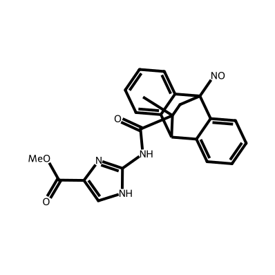 COC(=O)c1c[nH]c(NC(=O)C2(C)CC3(N=O)c4ccccc4C2c2ccccc23)n1